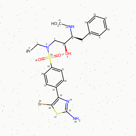 CC(C)CN(C[C@H](O)[C@H](Cc1ccccc1)NC(=O)O)S(=O)(=O)c1ccc(-c2nc(N)sc2Br)cc1